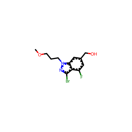 COCCCn1nc(Br)c2c(F)cc(CO)cc21